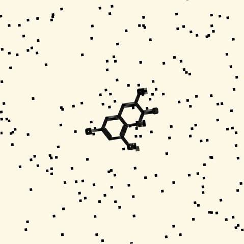 Cc1cc(Cl)cc2cc(O)c(=O)[nH]c12